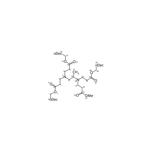 CCCCCCCCCCCOC(=O)CCN(CCC(=O)OCCCCCCCCCCC)CC(C)N(CCC(=O)OC)CCC(=O)OCCCCCCCCCCC